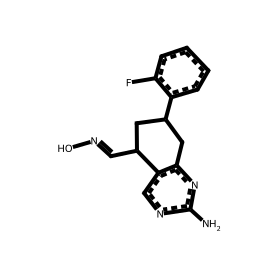 Nc1ncc2c(n1)CC(c1ccccc1F)CC2C=NO